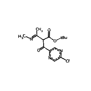 CN=C(C)C(C(=O)OC(C)(C)C)C(=O)c1cnc(Cl)cn1